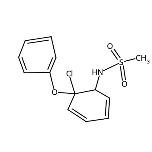 CS(=O)(=O)NC1C=CC=CC1(Cl)Oc1ccccc1